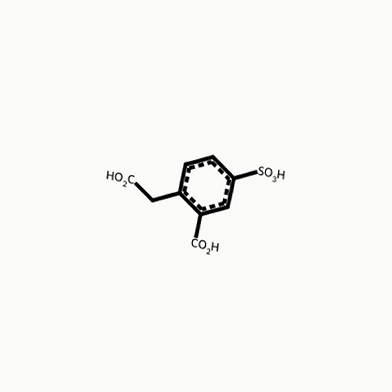 O=C(O)Cc1ccc(S(=O)(=O)O)cc1C(=O)O